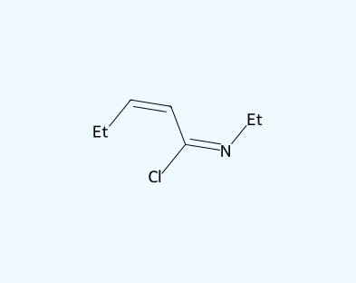 CC/C=C\C(Cl)=N/CC